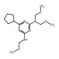 COCNc1nc(C2CCCC2)nc(N(COC)COC)n1